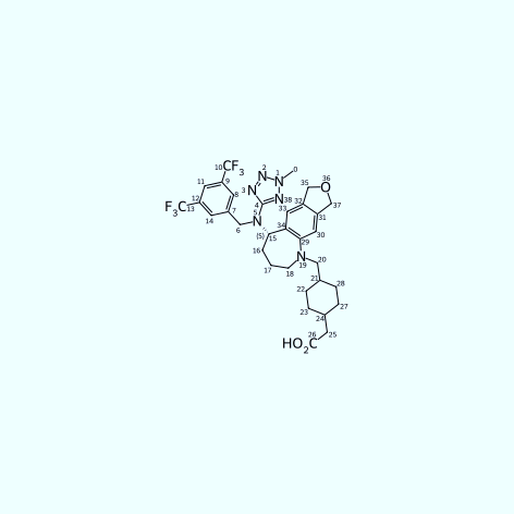 Cn1nnc(N(Cc2cc(C(F)(F)F)cc(C(F)(F)F)c2)[C@H]2CCCN(CC3CCC(CC(=O)O)CC3)c3cc4c(cc32)COC4)n1